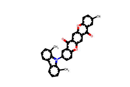 Cc1cccc2c3cccc(C)c3n(-c3ccc4oc5cc6c(=O)c7cc(C#N)ccc7oc6cc5c(=O)c4c3)c12